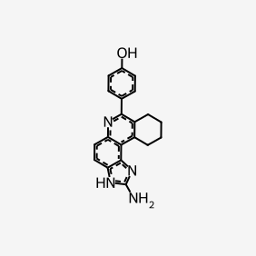 Nc1nc2c(ccc3nc(-c4ccc(O)cc4)c4c(c32)CCCC4)[nH]1